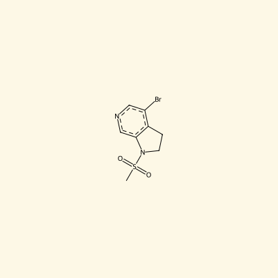 CS(=O)(=O)N1CCc2c(Br)cncc21